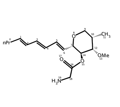 CCCC=CC=CC=C[C@@H]1OC[C@H](C)[C@H](OC)[C@H]1OC(=O)CN